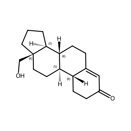 O=C1C=C2CC[C@@H]3[C@H](CC[C@]4(CO)CCC[C@@H]34)[C@H]2CC1